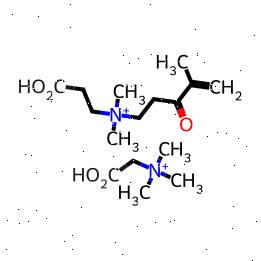 C=C(C)C(=O)CC[N+](C)(C)CCC(=O)O.C[N+](C)(C)CC(=O)O